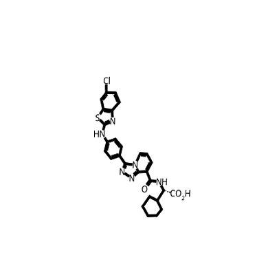 O=C(N[C@H](C(=O)O)C1CCCCC1)c1cccn2c(-c3ccc(Nc4nc5ccc(Cl)cc5s4)cc3)nnc12